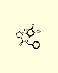 O=C(OCc1ccccc1)N1CCC[C@H]1c1ncc(O)c(=O)[nH]1